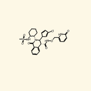 CS(=O)(=O)N[C@H]1CCCC[C@@H]1N1C(=O)c2ccccc2[C@@H](C(=O)NOCc2cccc(=O)[nH]2)C1C1C=CC(Cl)=C1